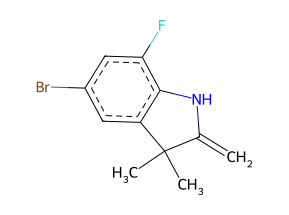 C=C1Nc2c(F)cc(Br)cc2C1(C)C